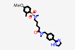 COc1ccc(S(=O)(=O)N(C)CCCCC(=O)N(C)Cc2ccc(C3=NCCN3)cc2)c(C)c1